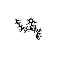 Cc1cccc(C)c1-c1cc(OC2CN(C(=O)CCc3ccco3)C2)nc(NS(=O)(=O)c2cnn(C)c2)n1